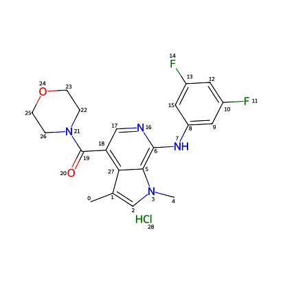 Cc1cn(C)c2c(Nc3cc(F)cc(F)c3)ncc(C(=O)N3CCOCC3)c12.Cl